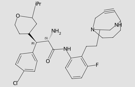 CC(C)C1CC([C@H](c2ccc(Cl)cc2)[C@H](N)C(=O)Nc2cccc(F)c2CCC2CNC3C#CCN2CCC3)CCO1